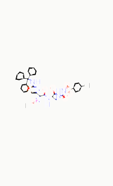 CON=C(C(=O)N[C@H]1CN(C(=O)NS(=O)(=O)c2ccc(C)cc2)C1=O)c1csc(NC(c2ccccc2)(c2ccccc2)c2ccccc2)n1